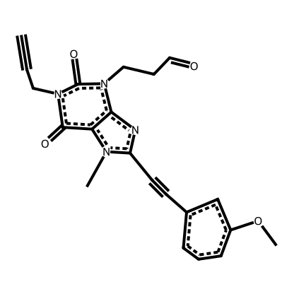 C#CCn1c(=O)c2c(nc(C#Cc3cccc(OC)c3)n2C)n(CCC=O)c1=O